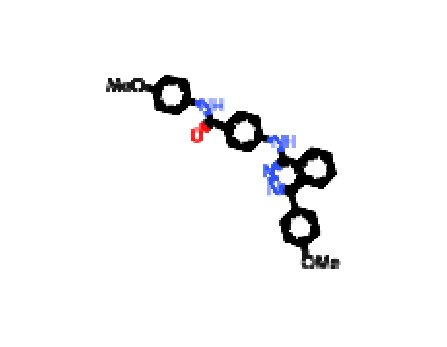 COc1ccc(NC(=O)c2ccc(Nc3nnc(-c4ccc(OC)cc4)c4ccccc34)cc2)cc1